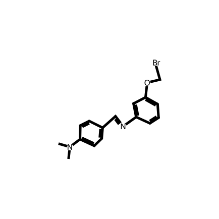 CN(C)c1ccc(/C=N/c2cccc(OCBr)c2)cc1